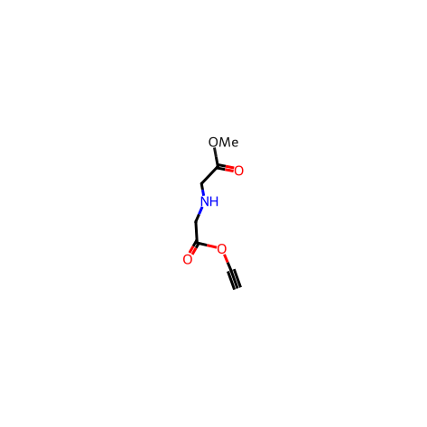 C#COC(=O)CNCC(=O)OC